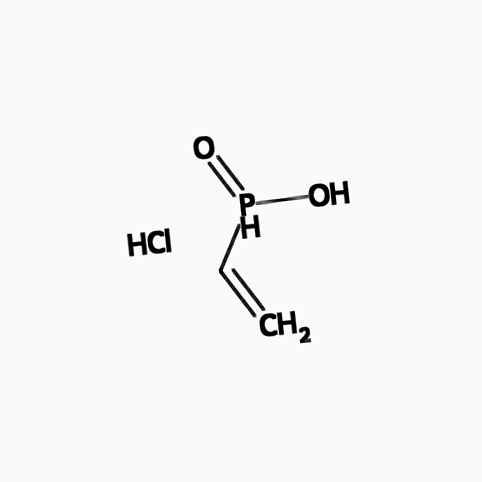 C=C[PH](=O)O.Cl